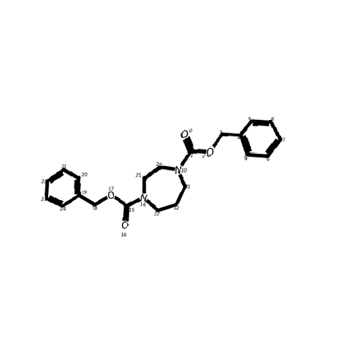 O=C(OCc1ccccc1)N1CCCN(C(=O)OCc2ccccc2)CC1